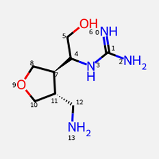 N=C(N)NC(CO)[C@@H]1COC[C@H]1CN